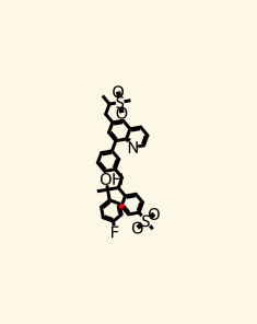 CC(Cc1cc(-c2cccc(CC(c3ccc(S(C)(=O)=O)cc3)C(C)(O)c3ccc(F)cc3)c2)c2ncccc2c1)S(C)(=O)=O